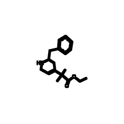 CCOC(=O)C(C)(C)C1=CCNC(Cc2ccccc2)C1